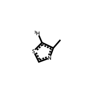 [3H]c1scnc1C